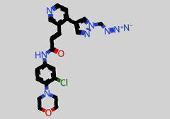 [N-]=[N+]=NCn1cc(-c2ccncc2/C=C/C(=O)Nc2ccc(N3CCOCC3)c(Cl)c2)cn1